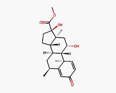 COC(=O)[C@@]1(O)CC[C@H]2[C@@H]3C[C@H](C)C4=CC(=O)C=C[C@]4(C)[C@H]3[C@@H](O)C[C@@]21C